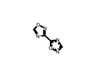 C1=[N+]C(c2ncno2)=NO1